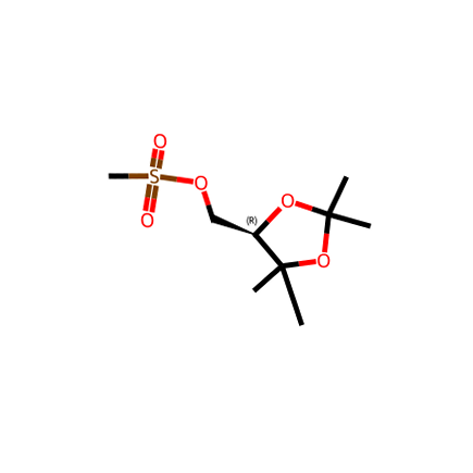 CC1(C)O[C@H](COS(C)(=O)=O)C(C)(C)O1